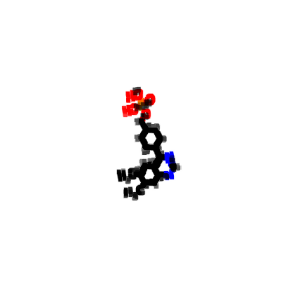 Cc1cc2ncnc(C3CCC(COP(=O)(O)O)CC3)c2cc1C